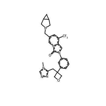 Cn1cnnc1CC1(c2cccc(-n3cc4c(C(F)(F)F)cc(CN5CC6CC6C5)cn4c3=O)c2)COC1